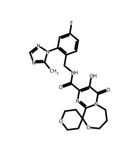 Cc1ncnn1-c1cc(F)ccc1CNC(=O)c1nc2n(c(=O)c1O)CCCOC21CCOCC1